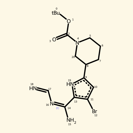 CC(C)(C)OC(=O)N1CCCC(c2cc(Br)c(/C(N)=N\C=N)[nH]2)C1